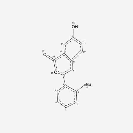 CCCCc1ccccc1-c1cc2ccc(O)cc2c(=O)o1